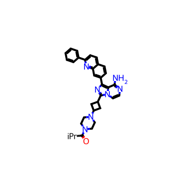 CC(C)C(=O)N1CCN(C2CC(c3nc(-c4ccc5ccc(-c6ccccc6)nc5c4)c4c(N)nccn34)C2)CC1